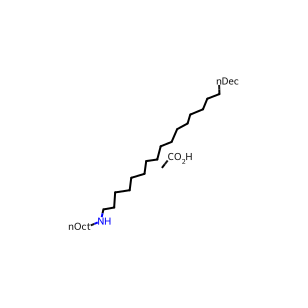 CC(=O)O.CCCCCCCCCCCCCCCCCCCCCCCCCCNCCCCCCCC